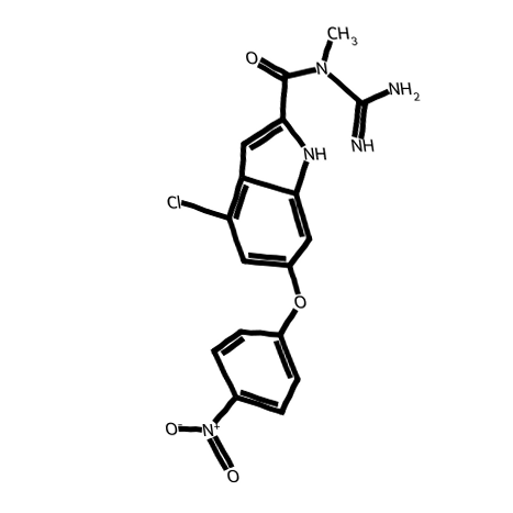 CN(C(=N)N)C(=O)c1cc2c(Cl)cc(Oc3ccc([N+](=O)[O-])cc3)cc2[nH]1